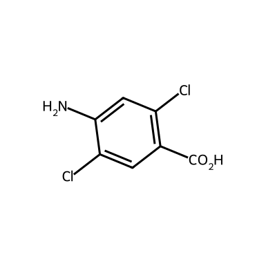 Nc1cc(Cl)c(C(=O)O)cc1Cl